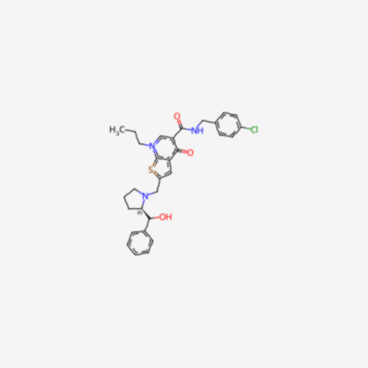 CCCn1cc(C(=O)NCc2ccc(Cl)cc2)c(=O)c2cc(CN3CCC[C@@H]3C(O)c3ccccc3)sc21